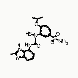 Cc1nc2cccc(NC(=O)N(S)c3cc(S(N)(=O)=O)ccc3OC(C)C)c2n1C